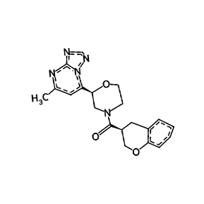 Cc1cc([C@@H]2CN(C(=O)[C@@H]3COc4ccccc4C3)CCO2)n2ncnc2n1